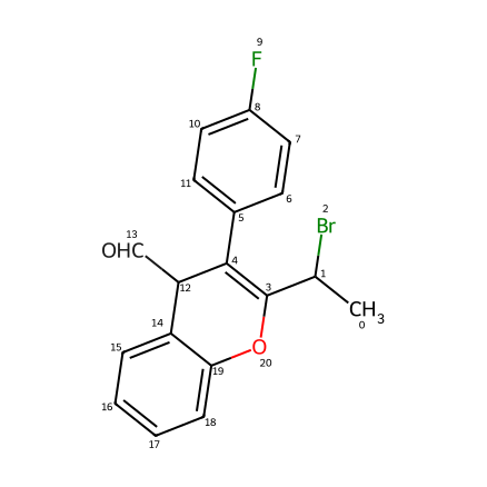 CC(Br)C1=C(c2ccc(F)cc2)C(C=O)c2ccccc2O1